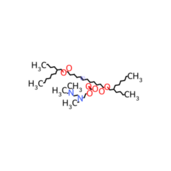 CCCCCCC(CCCC)COC(=O)CCC/C=C/CCCC(CC(=O)OCC(CCCC)CCCCCC)OC(=O)OCCN(CC)CCN(CC)CC